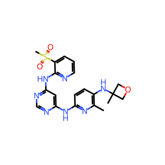 Cc1nc(Nc2cc(Nc3ncccc3S(C)(=O)=O)ncn2)ccc1NC1(C)COC1